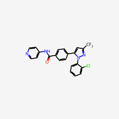 O=C(Nc1ccncc1)c1ccc(-c2cc(C(F)(F)F)nn2-c2ccccc2Cl)cc1